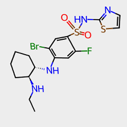 CCN[C@H]1CCCC[C@@H]1Nc1cc(F)c(S(=O)(=O)Nc2nccs2)cc1Br